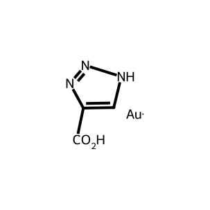 O=C(O)c1c[nH]nn1.[Au]